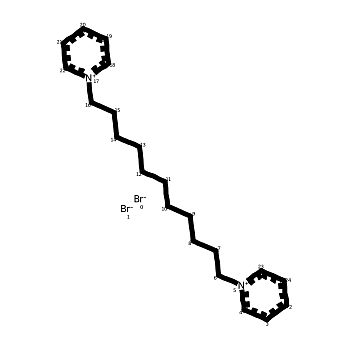 [Br-].[Br-].c1cc[n+](CCCCCCCCCCC[n+]2ccccc2)cc1